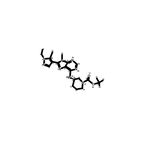 CCn1ncc(-c2nc3c(N[C@@H]4CCCN(C(=O)OC(C)(C)C)C4)ncnc3n2C)c1C